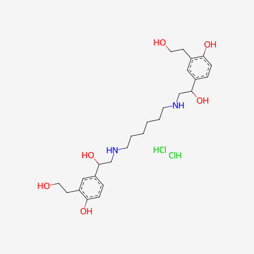 Cl.Cl.OCCc1cc(C(O)CNCCCCCCNCC(O)c2ccc(O)c(CCO)c2)ccc1O